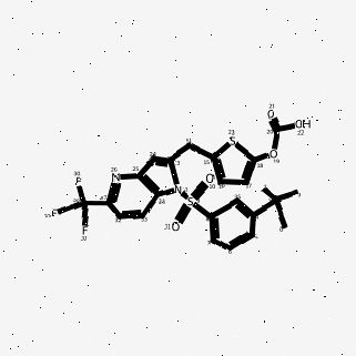 CC(C)(C)c1cccc(S(=O)(=O)n2c(Cc3ccc(OC(=O)O)s3)cc3nc(C(F)(F)F)ccc32)c1